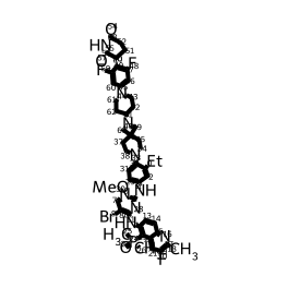 CCc1cc(Nc2ncc(Br)c(Nc3ccc4nc(C)c(F)cc4c3P(C)(C)=O)n2)c(OC)cc1N1CCC2(CC1)CN(C1CCN(c3cc(F)c([C@H]4CCC(=O)NC4=O)c(F)c3)CC1)C2